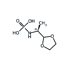 C[C@H](NP(=O)(O)O)C1OCCO1